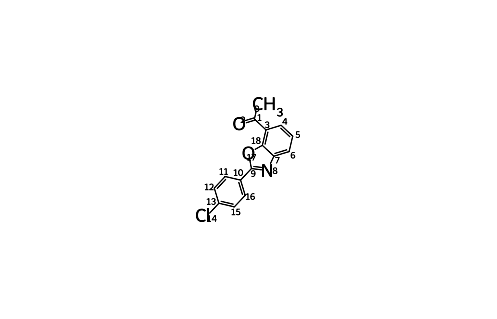 CC(=O)c1cccc2nc(-c3ccc(Cl)cc3)oc12